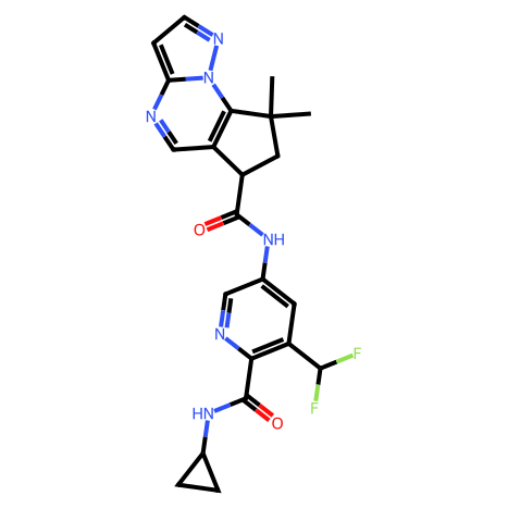 CC1(C)CC(C(=O)Nc2cnc(C(=O)NC3CC3)c(C(F)F)c2)c2cnc3ccnn3c21